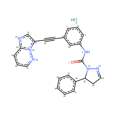 Cl.O=C(Nc1cccc(C#Cc2cnc3cccnn23)c1)N1N=CCC1c1ccccc1